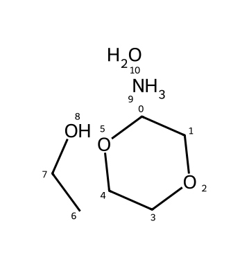 C1COCCO1.CCO.N.O